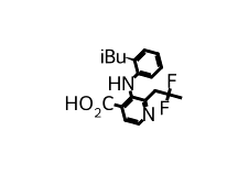 CC[C@H](C)c1ccccc1Nc1c(C(=O)O)ccnc1CC(C)(F)F